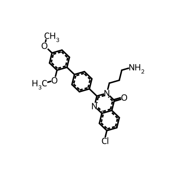 COc1ccc(-c2ccc(-c3nc4cc(Cl)ccc4c(=O)n3CCCN)cc2)c(OC)c1